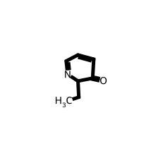 CCC1N=CC=CC1=O